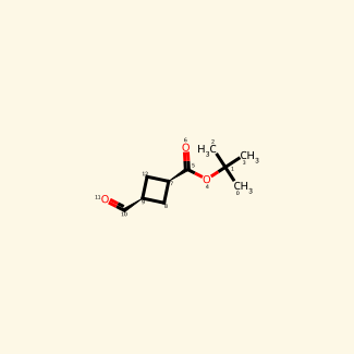 CC(C)(C)OC(=O)[C@H]1C[C@@H](C=O)C1